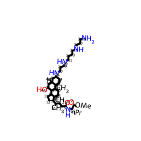 COC(=O)[C@@H](NC(=O)CC[C@@H](C)[C@H]1CCC2C3C(CC[C@@]21C)[C@@]1(C)CC[C@H](NCCCNCCCCNCCCN)C[C@H]1C[C@H]3O)C(C)C